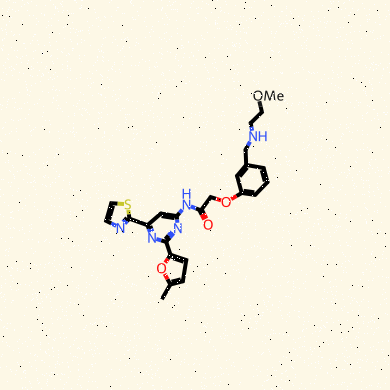 COCCNCc1cccc(OCC(=O)Nc2cc(-c3nccs3)nc(-c3ccc(C)o3)n2)c1